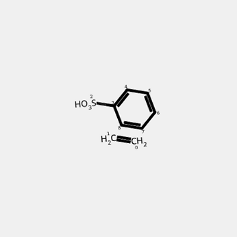 C=C.O=S(=O)(O)c1ccccc1